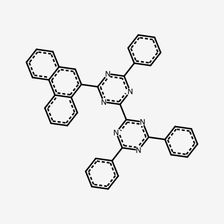 c1ccc(-c2nc(-c3ccccc3)nc(-c3nc(-c4ccccc4)nc(-c4cc5ccccc5c5ccccc45)n3)n2)cc1